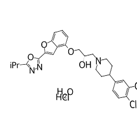 CC(C)c1nnc(-c2cc3c(OC[C@@H](O)CN4CCC(c5ccc(Cl)c(Cl)c5)CC4)cccc3o2)o1.Cl.O